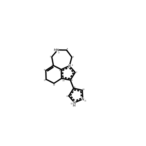 C1=C2CNCCn3cc(-c4cn[nH]c4)c(c32)CC1